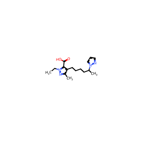 CCn1nc(C)c(CCCCC(C)n2cccn2)c1C(=O)O